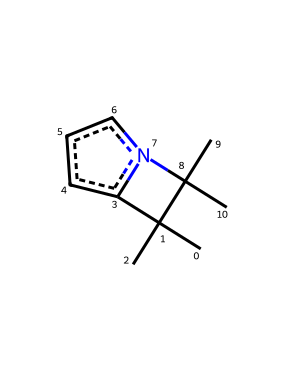 CC1(C)c2cccn2C1(C)C